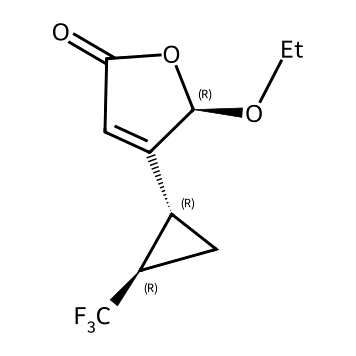 CCO[C@@H]1OC(=O)C=C1[C@@H]1C[C@H]1C(F)(F)F